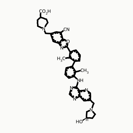 Cc1c(Nc2ncnc3cc(CN4CC[C@@H](O)C4)cnc23)cccc1-c1cccc(-c2nc3cc(CN4CCC(C(=O)O)CC4)cc(C#N)c3o2)c1C